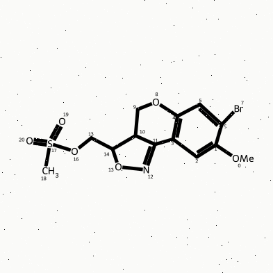 COc1cc2c(cc1Br)OCC1C2=NOC1COS(C)(=O)=O